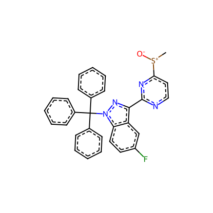 C[S+]([O-])c1ccnc(-c2nn(C(c3ccccc3)(c3ccccc3)c3ccccc3)c3ccc(F)cc23)n1